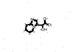 CCC(=O)C(O)c1cnc2ccccn12